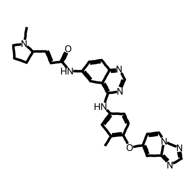 Cc1cc(Nc2ncnc3ccc(NC(=O)C=CC4CCCN4C)cc23)ccc1Oc1ccn2ncnc2c1